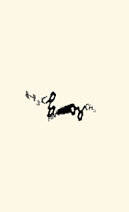 CCc1ccccc1Cc1ccc(Nc2ccc(Cc3ccccc3CC)cc2)cc1